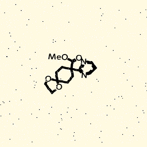 COC(=O)C1(c2ncccn2)CCC2(CC1)OCCO2